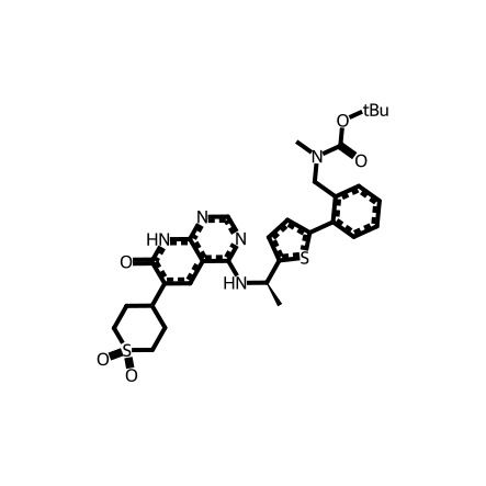 C[C@@H](Nc1ncnc2[nH]c(=O)c(C3CCS(=O)(=O)CC3)cc12)c1ccc(-c2ccccc2CN(C)C(=O)OC(C)(C)C)s1